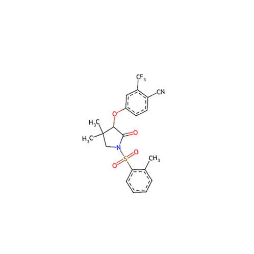 Cc1ccccc1S(=O)(=O)N1CC(C)(C)C(Oc2ccc(C#N)c(C(F)(F)F)c2)C1=O